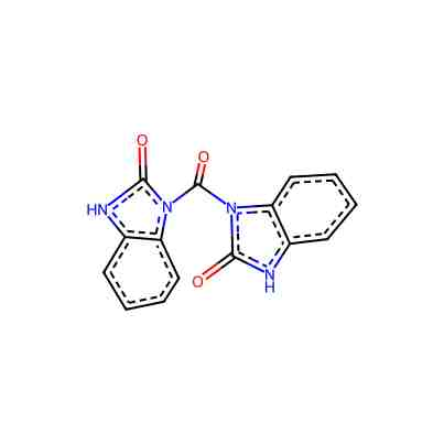 O=C(n1c(=O)[nH]c2ccccc21)n1c(=O)[nH]c2ccccc21